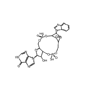 O=c1[nH]cnc2c1ncn2C1OC2COP(=O)(S)OC3C(O)C(COP(=O)(S)OC2C1O)OC3n1cnc2ccccc21